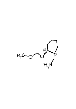 COCO[C@H]1CCCC[C@@H]1CN